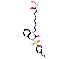 Cc1ccc(S(=O)(=O)N(Cc2ccccc2)C(=O)NCCCCCCCC(=O)NO)cc1